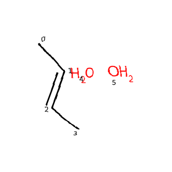 CC=CC.O.O